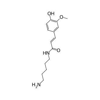 COc1cc(C=CC(=O)NCCCCCN)ccc1O